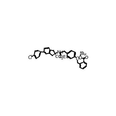 CCOC(=O)C1(NC(=O)Cc2ccc(OCc3ccccc3C(=O)OC(C)(C)C)cc2)Cc2ccc(-c3ccc(Cl)cc3)cc2C1